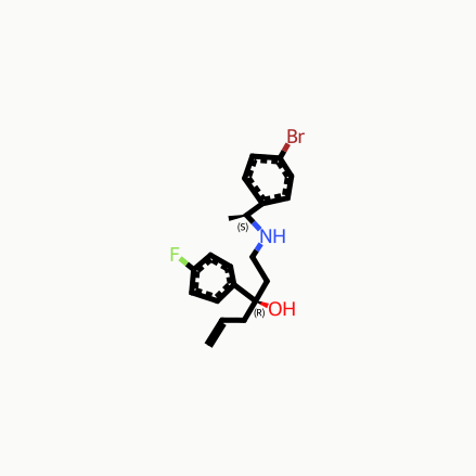 C=CC[C@@](O)(CCN[C@@H](C)c1ccc(Br)cc1)c1ccc(F)cc1